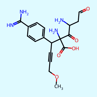 COCC#CC(c1ccc(C(=N)N)cc1)C(N)(C(=O)O)C(=O)C(N)CC=O